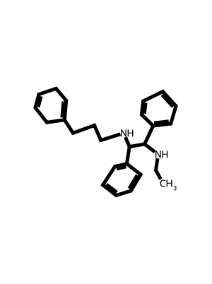 CCNC(c1ccccc1)C(NCCCC1=CCC=CC1)c1ccccc1